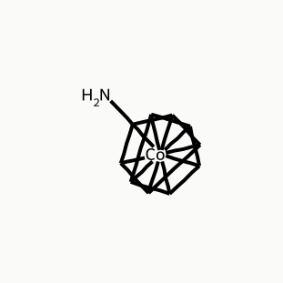 N[C]12[CH]3[CH]4[CH]5[CH]1[Co]45321678[CH]2[CH]1[CH]6[CH]7[CH]28